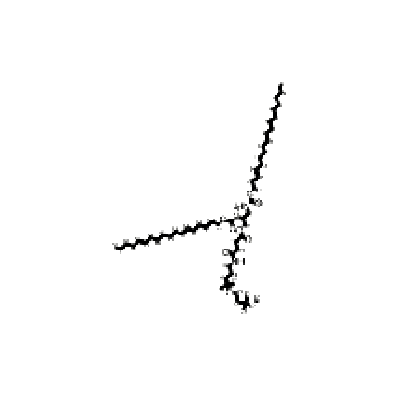 CCCCCCCCCCCCCCCCCCOC(=O)NCC(COC(=O)CCC(=O)NCCCC(C)(C)OCCC(C)(C)OC)NC(=O)OCCCCCCCCCCCCCCCCCC